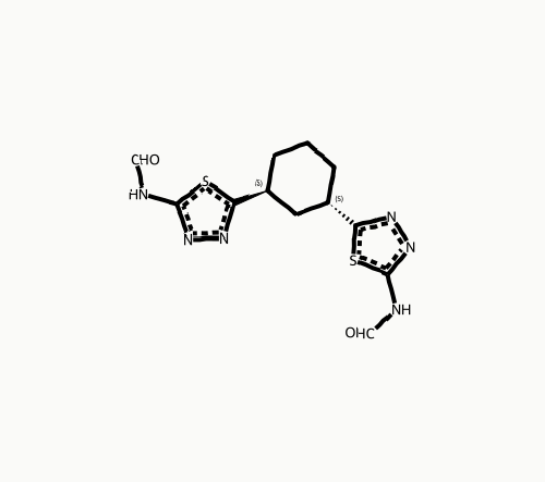 O=CNc1nnc([C@H]2CCC[C@H](c3nnc(NC=O)s3)C2)s1